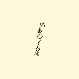 CCC[SiH]1CCC([C@H]2CC[C@H](CCCCc3ccc(OC(F)(F)F)cc3)CC2)CC1